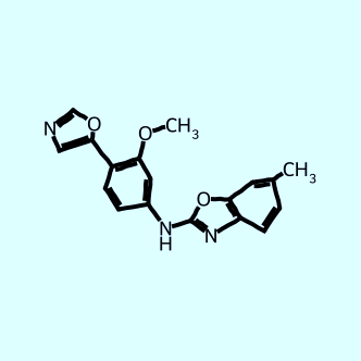 COc1cc(Nc2nc3ccc(C)cc3o2)ccc1-c1cnco1